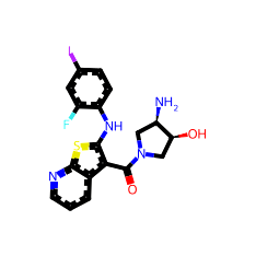 N[C@@H]1CN(C(=O)c2c(Nc3ccc(I)cc3F)sc3ncccc23)C[C@@H]1O